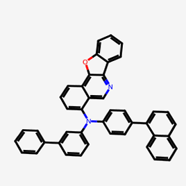 c1ccc(-c2cccc(N(c3ccc(-c4cccc5ccccc45)cc3)c3cccc4c3cnc3c5ccccc5oc43)c2)cc1